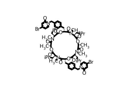 CC(C)C[C@H]1C(=O)O[C@H](Cc2ccc(Cn3ccc(Br)cc3=O)cc2)C(=O)N(C)[C@@H](CC(C)C)C(=O)O[C@H](C)C(=O)N(C)[C@@H](CC(C)C)C(=O)O[C@H](Cc2ccc(Cn3ccc(Br)cc3=O)cc2)C(=O)N(C)[C@@H](CC(C)C)C(=O)O[C@H](C)C(=O)N1C